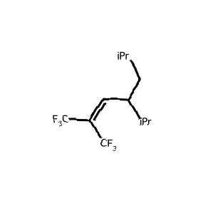 CC(C)CC(C=C(C(F)(F)F)C(F)(F)F)C(C)C